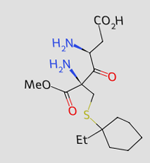 CCC1(SC[C@](N)(C(=O)OC)C(=O)[C@@H](N)CC(=O)O)CCCCC1